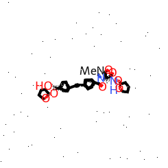 CNC(=O)[C@@](C)(C(=O)NOC1CCCCO1)N(C)C(=O)c1ccc(C#Cc2ccc([C@@H](CO)OC3CCCCO3)cc2)cc1